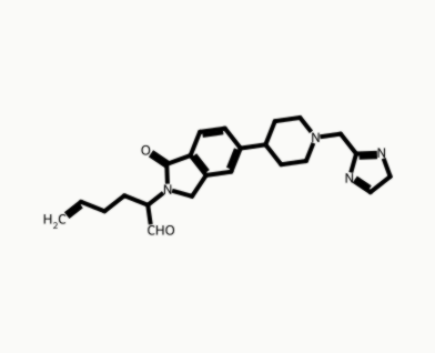 C=CCCC(C=O)N1Cc2cc(C3CCN(CC4=NCC=N4)CC3)ccc2C1=O